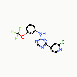 FC(F)(F)Oc1cccc(Nc2ncnc(-c3ccnc(Cl)c3)n2)c1